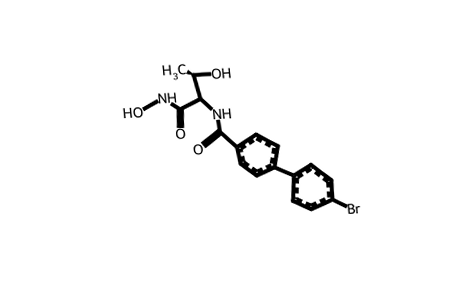 C[C@@H](O)C(NC(=O)c1ccc(-c2ccc(Br)cc2)cc1)C(=O)NO